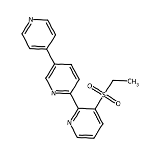 CCS(=O)(=O)c1cccnc1-c1ccc(-c2ccncc2)cn1